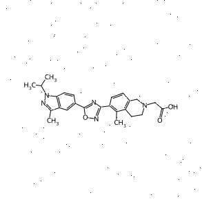 Cc1c(-c2noc(-c3ccc4c(c3)c(C)nn4C(C)C)n2)ccc2c1CCN(CC(=O)O)C2